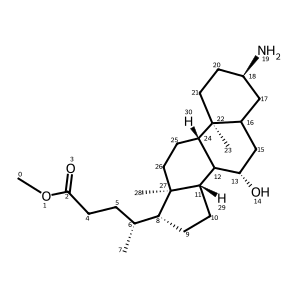 COC(=O)CC[C@@H](C)[C@H]1CC[C@H]2C3[C@@H](O)CC4C[C@H](N)CC[C@]4(C)[C@H]3CC[C@]12C